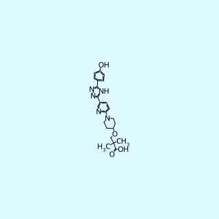 CC(C)(COC1CCN(c2ccc(-c3nnc(-c4ccc(O)cc4)[nH]3)cn2)CC1)C(=O)O